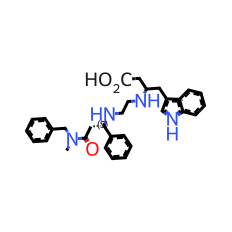 CN(Cc1ccccc1)C(=O)C[C@H](NCCNC(CC(=O)O)Cc1c[nH]c2ccccc12)c1ccccc1